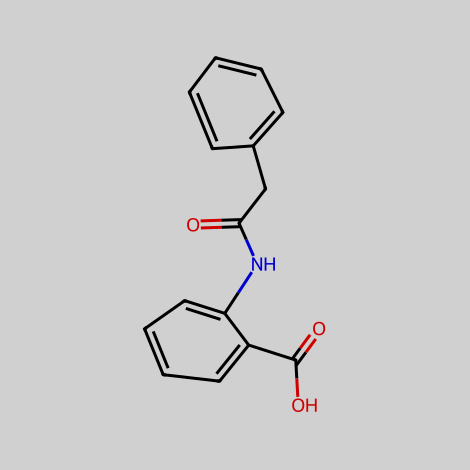 O=C(Cc1ccccc1)Nc1ccccc1C(=O)O